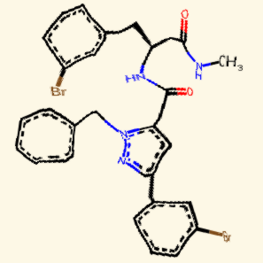 CNC(=O)[C@H](Cc1cccc(Br)c1)NC(=O)c1cc(-c2cccc(Br)c2)nn1Cc1ccccc1